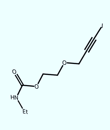 CCNC(=O)OCCOCC#CI